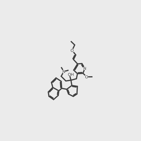 CCO/C=C/c1cnc(OC)c(CC(O)(CCN(C)C)c2ccccc2-c2cccc3ccccc23)c1